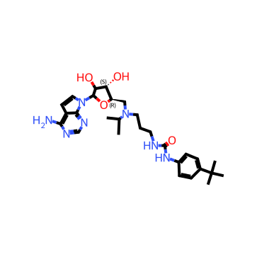 CC(C)N(CCCNC(=O)Nc1ccc(C(C)(C)C)cc1)C[C@H]1OC(n2ccc3c(N)ncnc32)C(O)[C@@H]1O